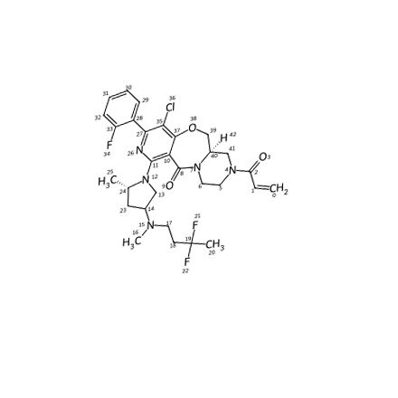 C=CC(=O)N1CCN2C(=O)c3c(N4CC(N(C)CCC(C)(F)F)C[C@@H]4C)nc(-c4ccccc4F)c(Cl)c3OC[C@H]2C1